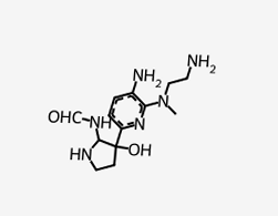 CN(CCN)c1nc(C2(O)CCNC2NC=O)ccc1N